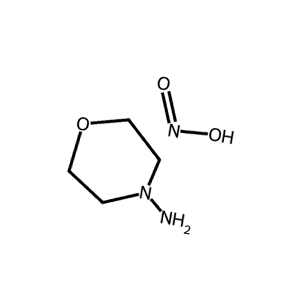 NN1CCOCC1.O=NO